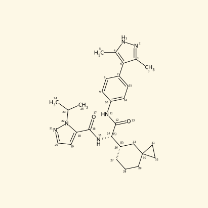 Cc1n[nH]c(C)c1-c1ccc(NC(=O)[C@@H](NC(=O)c2ccnn2C(C)C)[C@H]2CCCC3(CC3)C2)cc1